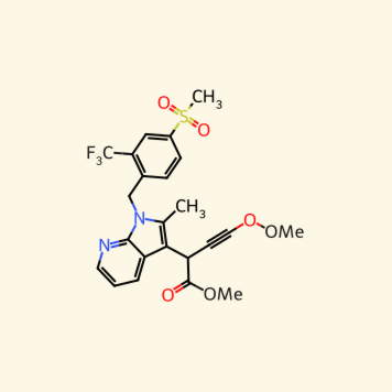 COOC#CC(C(=O)OC)c1c(C)n(Cc2ccc(S(C)(=O)=O)cc2C(F)(F)F)c2ncccc12